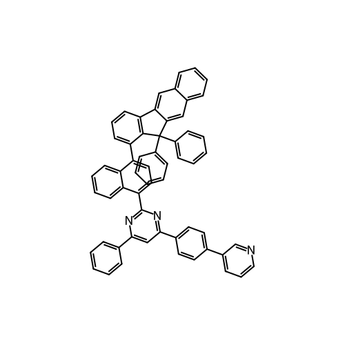 c1ccc(-c2cc(-c3ccc(-c4cccnc4)cc3)nc(-c3ccc(-c4cccc5c4C(c4ccccc4)(c4ccccc4)c4cc6ccccc6cc4-5)c4ccccc34)n2)cc1